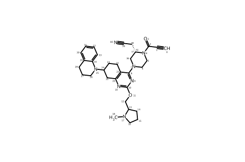 C#CC(=O)N1CCN(c2nc(OCC3CCCN3C)nc3c2CCC(N2CCCc4ccccc42)C3)C[C@@H]1CC#N